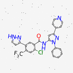 O=C(Nc1cc(-c2ccncc2)nn1-c1ccccc1)c1cc(-c2cc[nH]n2)c(C(F)(F)F)cc1Cl